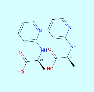 C[C@H](Nc1ccccn1)C(=O)O.C[C@H](Nc1ccccn1)C(=O)O